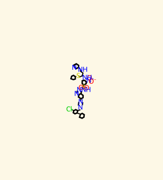 O=[N+]([O-])c1cc(S(=O)(=O)Nc2ncnc3cc(N4CCN(Cc5cc(Cl)ccc5-c5ccccc5)CC4)ccc23)ccc1NC(CCNc1cccnc1)CSc1ccccc1